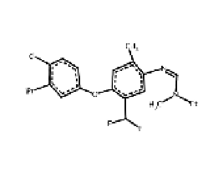 CCN(C)/C=N\c1cc(C(F)F)c(Oc2ccc(Cl)c(C(C)C)c2)cc1C